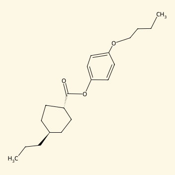 CCCCOc1ccc(OC(=O)[C@H]2CC[C@H](CCC)CC2)cc1